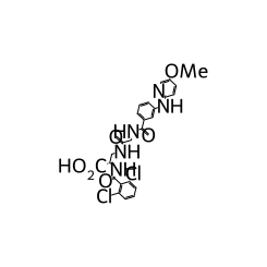 COc1ccc(Nc2cccc(C(=O)NCC(=O)NC[C@H](NC(=O)c3c(Cl)cccc3Cl)C(=O)O)c2)nc1